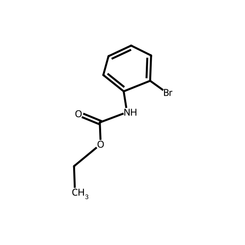 CCOC(=O)Nc1ccccc1Br